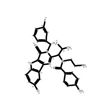 Cc1ccc(C(=O)N(CCN)C(c2nc3c(oc4ccc(Cl)cc43)c(=O)n2Cc2cccc(F)c2)C(C)C)cc1